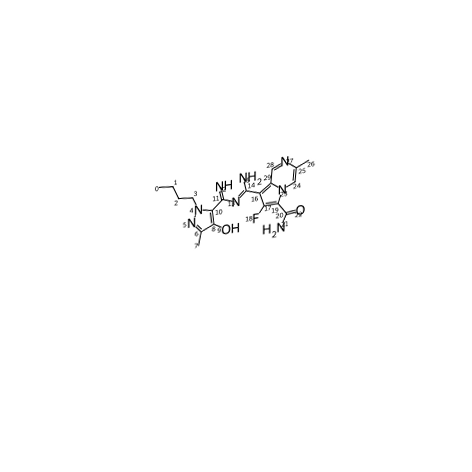 CCCCn1nc(C)c(O)c1C(=N)/N=C(\N)c1c(F)c(C(N)=O)n2cc(C)ncc12